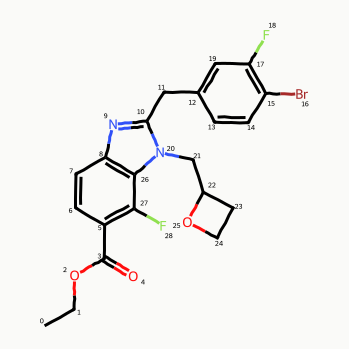 CCOC(=O)c1ccc2nc(Cc3ccc(Br)c(F)c3)n(CC3CCO3)c2c1F